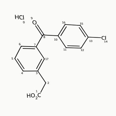 Cl.O=C(O)Cc1cccc(C(=O)c2ccc(Cl)cc2)c1